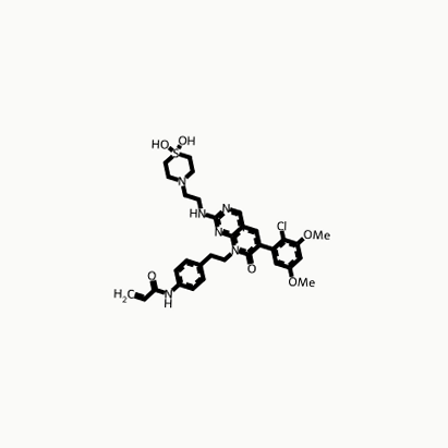 C=CC(=O)Nc1ccc(CCn2c(=O)c(-c3cc(OC)cc(OC)c3Cl)cc3cnc(NCCN4CCS(O)(O)CC4)nc32)cc1